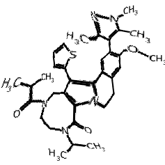 COc1cc2c(cc1-c1c(C)nn(C)c1C)-c1c(-c3cccs3)c3c(n1CC2)C(=O)N(C(C)C)CCN(C(=O)C(C)C)C3